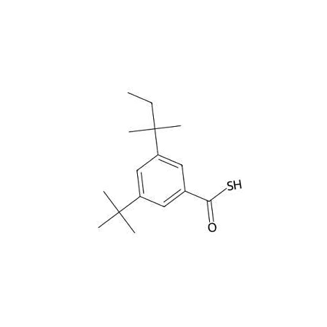 CCC(C)(C)c1cc(C(=O)S)cc(C(C)(C)C)c1